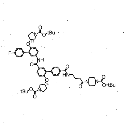 CC(C)(C)OC(=O)N1CCN(C(=O)CCCNC(=O)c2ccc(-c3cc(C(=O)Nc4ccc(O[C@H]5CCN(C(=O)OC(C)(C)C)C5)c(-c5ccc(F)cc5)c4)ccc3O[C@H]3CCN(C(=O)OC(C)(C)C)C3)cc2)CC1